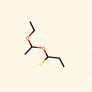 CCOC(C)OC([S])CC